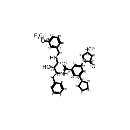 Cl.O=C(N[C@@H](Cc1ccccc1)[C@@H](O)CNCc1cccc(OC(F)(F)F)c1)c1cc(C2CCCC2)cc(N2CCCC2=O)c1